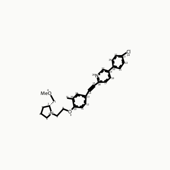 COC[C@H]1CCCN1CCOc1ccc(C#Cc2ccc(-c3ccc(Cl)cc3)cn2)cc1C